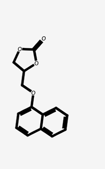 O=C1OCC(COc2cccc3ccccc23)O1